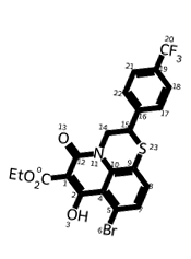 CCOC(=O)c1c(O)c2c(Br)ccc3c2n(c1=O)CC(c1ccc(C(F)(F)F)cc1)S3